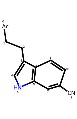 CC(=O)CCc1c[nH]c2cc(C#N)ccc12